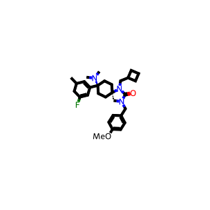 COc1ccc(CN2C[C@]3(CC[C@](C4=CC(C)CC(F)=C4)(N(C)C)CC3)N(CC3CCC3)C2=O)cc1